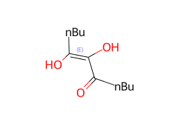 CCCCC(=O)/C(O)=C(\O)CCCC